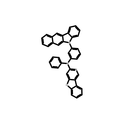 c1ccc(N(c2cccc(-n3c4ccccc4c4cc5ccccc5cc43)c2)c2cc3oc4ccccc4c3cn2)cc1